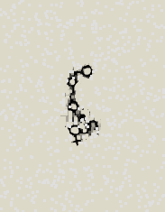 CC(C)(C)c1ccccc1Oc1ncccc1NC(=O)Nc1ccc(OCC2CCN(C(I)c3ccccc3)C2)cc1